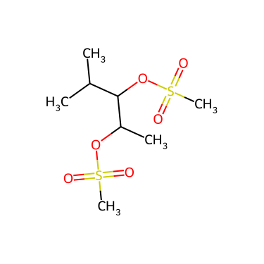 CC(C)C(OS(C)(=O)=O)C(C)OS(C)(=O)=O